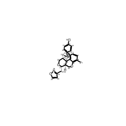 Cc1ccc(F)c2c1[C@]1([SH](=O)(F)c3ccc(Cl)cc3)CCO[C@@H](Cc3ccon3)[C@@H]1CO2